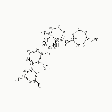 CC(C)N1CCC[C@H](O[C@H]2CCCC(F)(F)[C@@H]2NC(=O)Cc2ccnc(-c3cc(F)cc(F)c3)c2C(F)(F)F)CC1